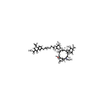 CC[C@H]1OC(=O)[C@H](C)[C@@H](O[C@H]2C[C@@](C)(OC)[C@@H](OC(=O)CCNCCCc3ccc4c(c3)c(=O)c(C(=O)O)cn4N(C)C)[C@H](C)O2)[C@H](C)[C@@H](O[C@@H]2O[C@H](C)C[C@H](N(C)C)[C@H]2O)[C@](C)(O)C[C@@H](C)/C(=N\O)[C@@H](C)[C@H]2OC(=O)O[C@@]21C